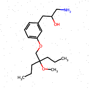 CCCC(CCC)(COc1cccc(CC(O)CN)c1)OC